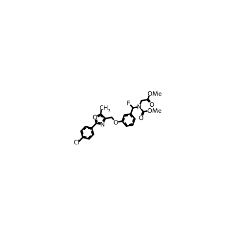 COC(=O)CN(C(=O)OC)C(F)c1cccc(OCc2nc(-c3ccc(Cl)cc3)oc2C)c1